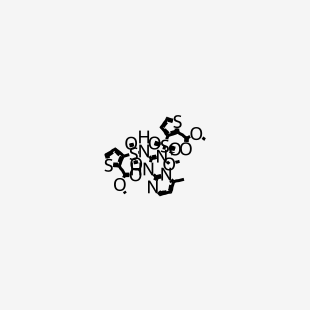 COC(=O)c1sccc1S(=O)(=O)NC(Nc1nccc(C)n1)=[N+](OC)S(=O)(=O)c1ccsc1C(=O)OC